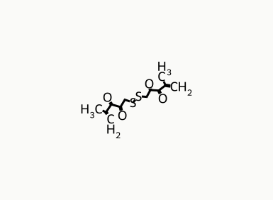 C=C(C)C(=O)C(=O)CSSCC(=O)C(=O)C(=C)C